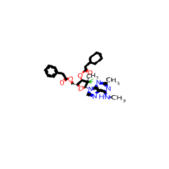 CNc1nc(C)nc2c1ncn2[C@@H]1O[C@H](COC(=O)Cc2ccccc2)[C@@H](OC(=O)CC2CCCCC2)[C@@]1(C)F